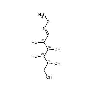 CON=C[C@H](O)[C@@H](O)[C@H](O)[C@H](O)CO